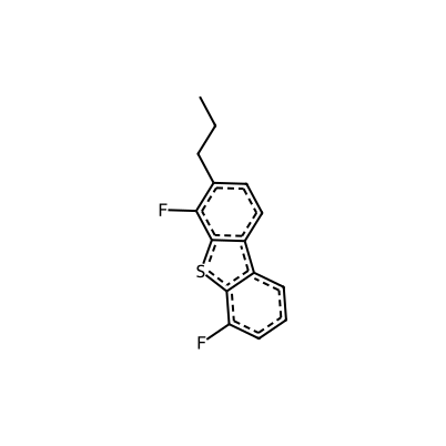 CCCc1ccc2c(sc3c(F)cccc32)c1F